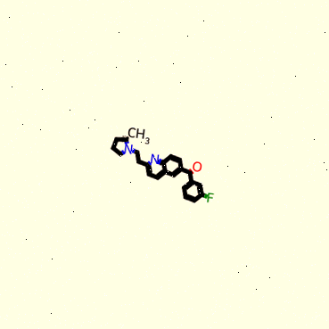 C[C@@H]1CCCN1CCc1ccc2cc(C(=O)c3cccc(F)c3)ccc2n1